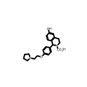 CCOC(=O)N1CCc2cc(O)ccc2C1c1ccc(OCCN2CCCC2)cc1